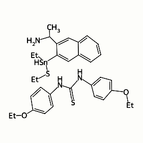 CCOc1ccc(NC(=S)Nc2ccc(OCC)cc2)cc1.CC[S][SnH]([CH2]C)[c]1cc2ccccc2cc1C(C)N